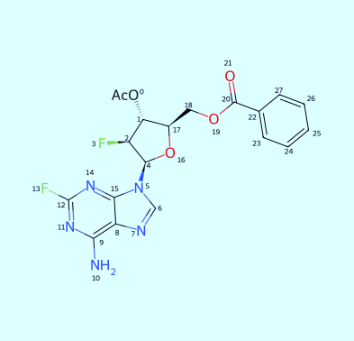 CC(=O)O[C@H]1[C@H](F)[C@H](n2cnc3c(N)nc(F)nc32)O[C@@H]1COC(=O)c1ccccc1